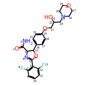 NC(=O)C1N=C(c2c(F)cccc2F)OC1c1ccc(OCC(O)CN2CCOCC2)cc1